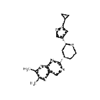 Cc1nc2cnc([C@H]3CCO[C@@H](c4cnn(C5CC5)c4)C3)nc2nc1C